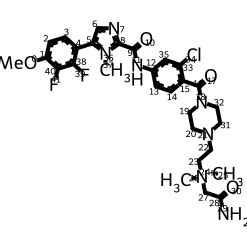 COc1ccc(-c2cnc(C(=O)Nc3ccc(C(=O)N4CCN(CC[N+](C)(C)CC(N)=O)CC4)c(Cl)c3)n2C)c(F)c1F